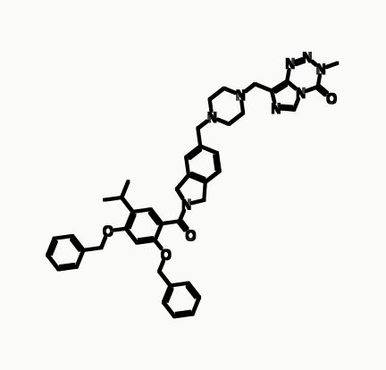 CC(C)c1cc(C(=O)N2Cc3ccc(CN4CCN(Cc5ncn6c(=O)n(C)nnc56)CC4)cc3C2)c(OCc2ccccc2)cc1OCc1ccccc1